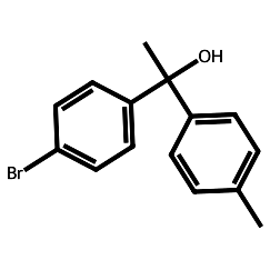 Cc1ccc(C(C)(O)c2ccc(Br)cc2)cc1